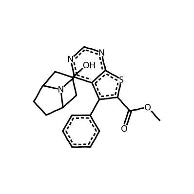 COC(=O)c1sc2ncnc(N3C4CCC3CC(O)C4)c2c1-c1ccccc1